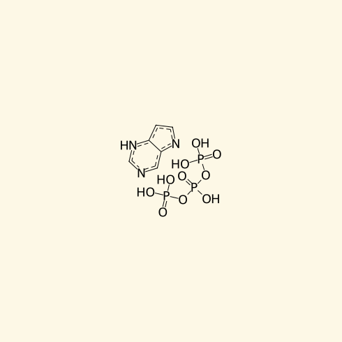 O=P(O)(O)OP(=O)(O)OP(=O)(O)O.c1cc2[nH]cncc-2n1